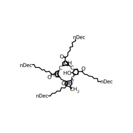 C=C(/C=C1/Cc2cc(C(=O)CCCCCCCCCCCCCCCCC)cc(c2O)Cc2cc(C(=O)CCCCCCCCCCCCCCCCC)cc(c2O)Cc2cc(C(=O)CCCCCCCCCCCCCCCCC)cc(c2O)CC(C)C1O)C(=O)CCCCCCCCCCCCCCCCC